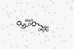 COc1cc(C=CC=C2NC(=O)SC2=O)ccc1OCc1coc(-c2ccccc2)n1